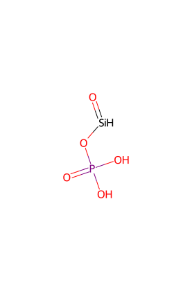 O=[SiH]OP(=O)(O)O